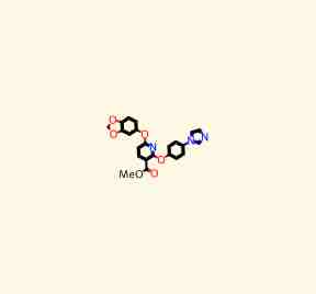 COC(=O)c1ccc(Oc2ccc3c(c2)OCO3)nc1Oc1ccc(-n2ccnc2)cc1